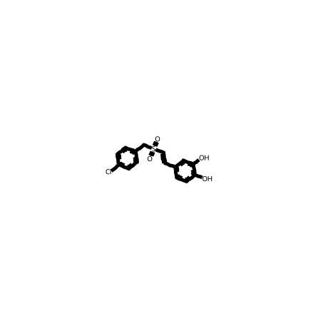 O=S(=O)(C=Cc1ccc(O)c(O)c1)Cc1ccc(Cl)cc1